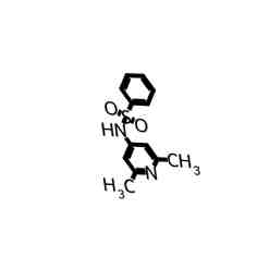 Cc1cc(NS(=O)(=O)c2ccccc2)cc(C)n1